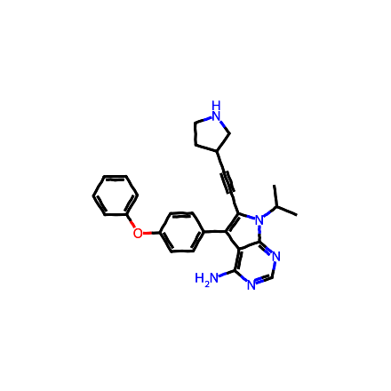 CC(C)n1c(C#CC2CCNC2)c(-c2ccc(Oc3ccccc3)cc2)c2c(N)ncnc21